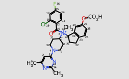 Cc1cc(N2CCC([N+](C)(C(=O)c3ccc(F)cc3Cl)[C@@H]3CCc4ccc(OC(=O)O)cc43)CC2)nc(C)n1